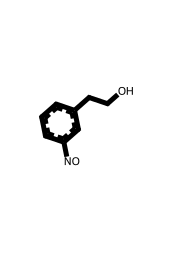 O=Nc1cccc(CCO)c1